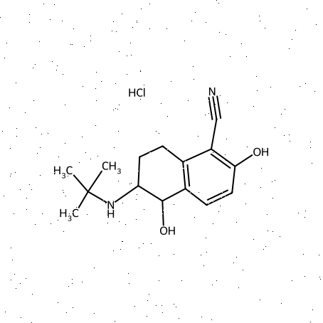 CC(C)(C)NC1CCc2c(ccc(O)c2C#N)C1O.Cl